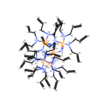 C=CCN(CC=C)P(=N[P+](N=P(N(CC=C)CC=C)(N(CC=C)CC=C)N(CC=C)CC=C)(N=P(N(CC=C)CC=C)(N(CC=C)CC=C)N(CC=C)CC=C)N=P(N(CC=C)CC=C)(N(CC=C)CC=C)N(CC=C)CC=C)(N(CC=C)CC=C)N(CC=C)CC=C